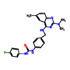 Cc1ccc2nc(N(C)C)nc(NCc3ccc(NC(=O)Nc4ccc(F)cc4)cc3)c2c1